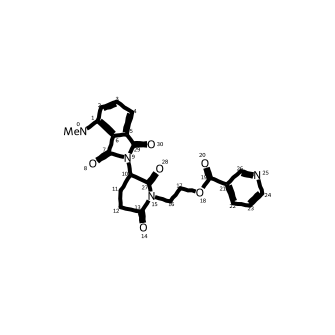 CNc1cccc2c1C(=O)N(C1CCC(=O)N(CCOC(=O)c3cccnc3)C1=O)C2=O